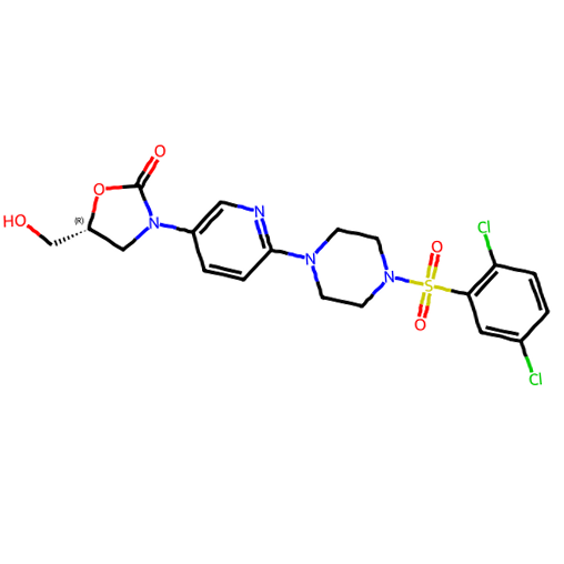 O=C1O[C@@H](CO)CN1c1ccc(N2CCN(S(=O)(=O)c3cc(Cl)ccc3Cl)CC2)nc1